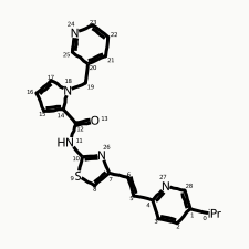 CC(C)c1ccc(C=Cc2csc(NC(=O)c3cccn3Cc3cccnc3)n2)nc1